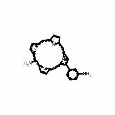 Nc1cccc(-c2cc3cc4nc(cc5ccc([nH]5)c(N)c5nc(cc2[nH]3)C=C5)C=C4)c1